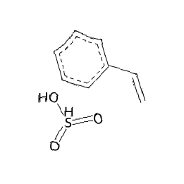 C=Cc1ccccc1.O=[SH](=O)O